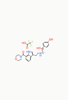 C[C@H](NCCc1c[nH]c2c(C(=O)N3CCOCC3)cccc12)[C@H](O)c1ccc(O)cc1.O=C(O)C(F)(F)F